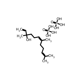 C=CC(C)(O)CCC=C(C)CCC=C(C)C.O=P(O)(O)O.O=P(O)(O)O